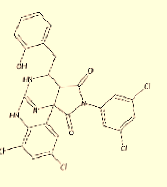 O=C1C2C(Cc3ccccc3O)NC3=NC2(C(=O)N1c1cc(Cl)cc(Cl)c1)c1cc(Cl)cc(Cl)c1N3